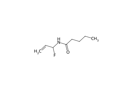 C=CC(F)NC(=O)CCCC